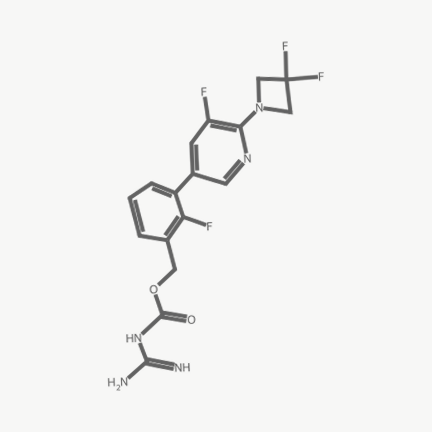 N=C(N)NC(=O)OCc1cccc(-c2cnc(N3CC(F)(F)C3)c(F)c2)c1F